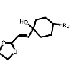 CCCCC1CCC(O)(C=CC2OCCO2)CC1